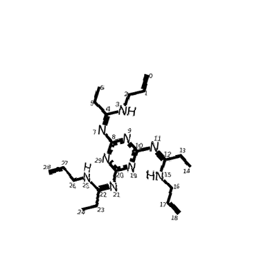 C=CCNC(CC)=Nc1nc(N=C(CC)NCC=C)nc(N=C(CC)NCC=C)n1